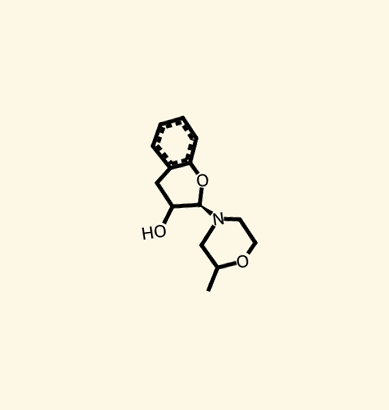 CC1CN([C@@H]2Oc3ccccc3CC2O)CCO1